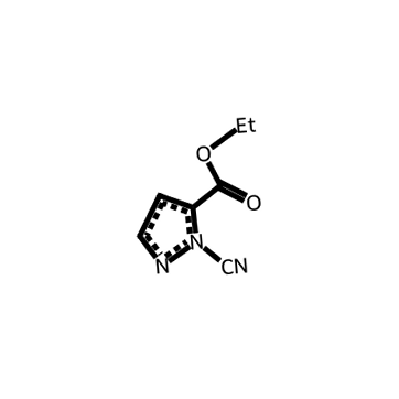 CCOC(=O)c1ccnn1C#N